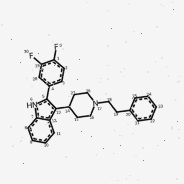 Fc1ccc(-c2[nH]c3ccccc3c2C2CCN(CCc3ccccc3)CC2)cc1F